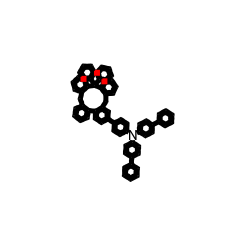 c1ccc(-c2ccc(N(c3ccc(-c4ccccc4)cc3)c3ccc(-c4ccc5c(c4)Cc4ccccc4C(c4ccccc4)(c4ccccc4)c4ccccc4Cc4ccccc4-5)cc3)cc2)cc1